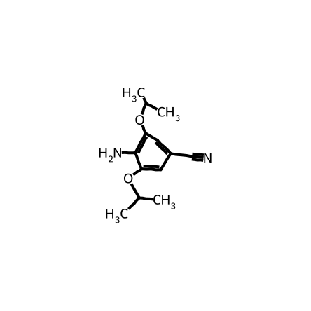 CC(C)Oc1cc(C#N)cc(OC(C)C)c1N